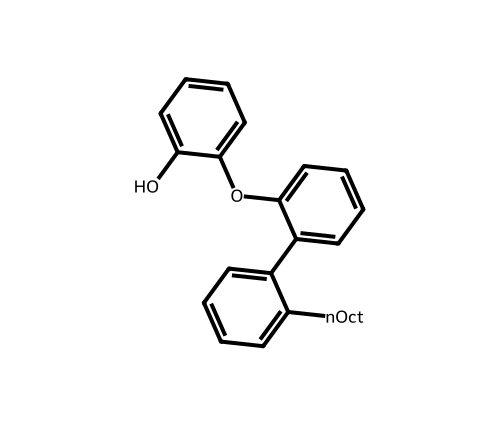 CCCCCCCCc1ccccc1-c1ccccc1Oc1ccccc1O